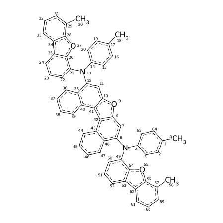 Cc1ccc(N(c2cc3oc4cc(N(c5ccc(C)cc5)c5cccc6c5oc5c(C)cccc56)c5ccccc5c4c3c3ccccc23)c2cccc3c2oc2c(C)cccc23)cc1